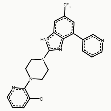 FC(F)(F)c1cc(-c2cccnc2)c2nc(N3CCN(c4ncccc4Cl)CC3)[nH]c2c1